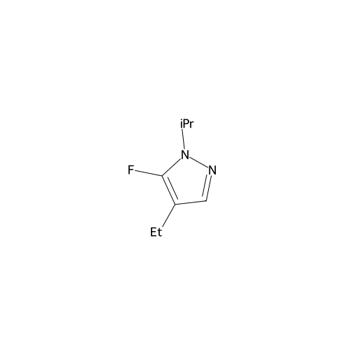 CCc1cnn(C(C)C)c1F